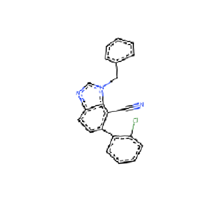 N#Cc1c(-c2ccccc2Cl)ccc2ncn(Cc3ccccc3)c12